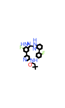 CC(C)(C)CC(=O)Nc1cncc(-c2cc(F)c3[nH]nc(-c4nc5c(-c6ccccc6F)cccc5[nH]4)c3c2)c1